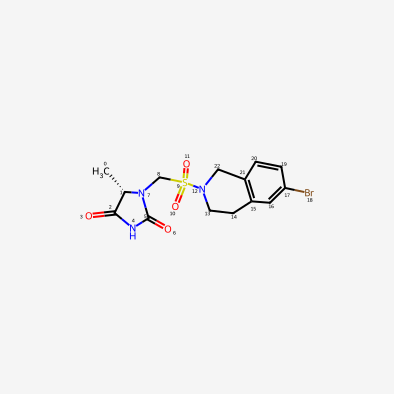 C[C@H]1C(=O)NC(=O)N1CS(=O)(=O)N1CCc2cc(Br)ccc2C1